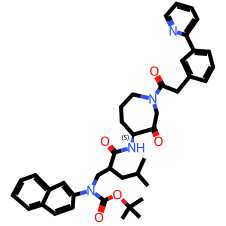 CC(C)CC(CN(C(=O)OC(C)(C)C)c1ccc2ccccc2c1)C(=O)N[C@H]1CCCN(C(=O)Cc2cccc(-c3ccccn3)c2)CC1=O